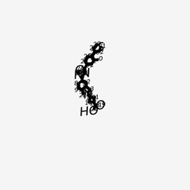 Cc1cc(-c2nc(-c3ccc4c(c3)CN(C3CC(C(=O)O)C3)C4)no2)ccc1C1C=CSC1